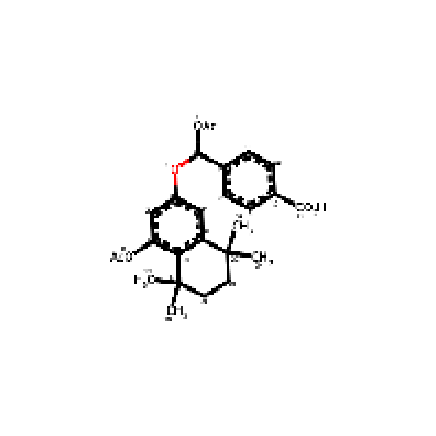 CC(=O)Oc1cc(OC(OC(C)=O)c2ccc(C(=O)O)cc2)cc2c1C(C)(C)CCC2(C)C